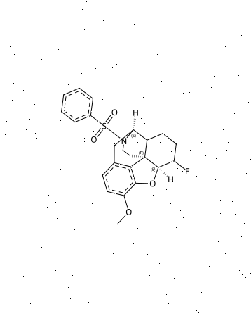 COc1ccc2c3c1O[C@@H]1C(F)CCC4[C@H](C2)N(S(=O)(=O)c2ccccc2)CC[C@]341